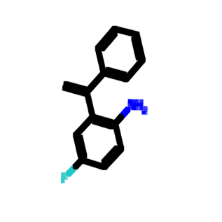 C=C(c1ccccc1)c1cc(F)ccc1N